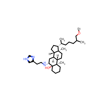 CCOCC(C)CCCC(C)[C@H]1CC[C@H]2[C@@H]3C[C@@H](NCCc4c[nH]cn4)[C@@]4(O)CCCC[C@]4(C)[C@H]3CC[C@]12C